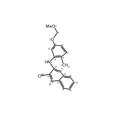 COCOc1ccc(C)c(Nc2nc3ccccc3nc2Cl)c1